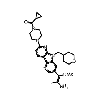 CN/C(=C(/C)N)c1cnc2c3ccc(N4CCN(C(=O)C5CC5)CC4)nc3n(CC3CCOCC3)c2c1